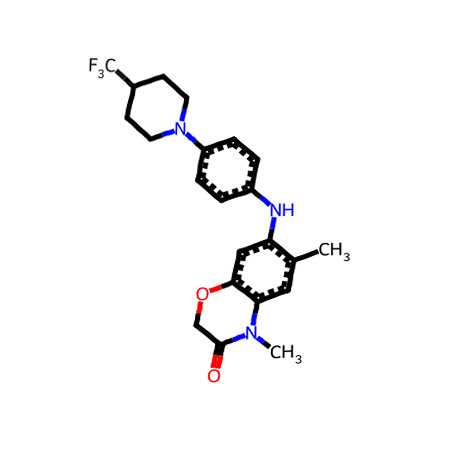 Cc1cc2c(cc1Nc1ccc(N3CCC(C(F)(F)F)CC3)cc1)OCC(=O)N2C